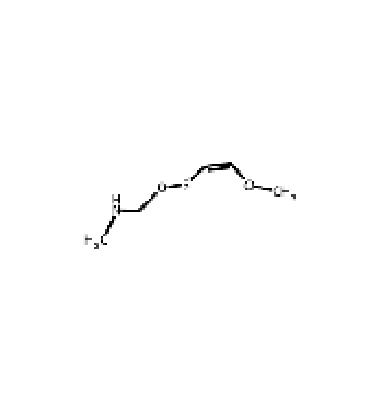 CNCOS/C=C\OC